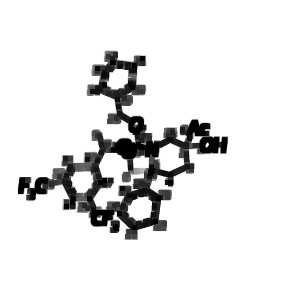 CC(=O)C1(O)CC[C@@](COC(C)c2cc(C(F)(F)F)cc(C(F)(F)F)c2)(c2ccccc2)N(C(=O)OCc2ccccc2)C1